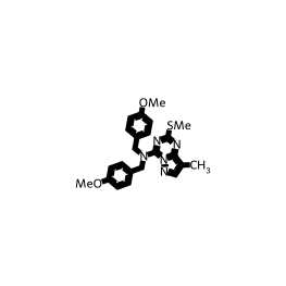 COc1ccc(CN(Cc2ccc(OC)cc2)c2nc(SC)nc3c(C)cnn23)cc1